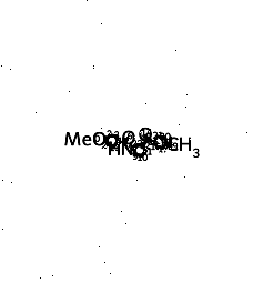 COc1ccc(C(=O)Nc2cccc(C(=O)C3CCN(C)CC3)c2)cc1